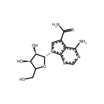 NC(=S)c1cn([C@@H]2OC(CO)[C@@H](O)[C@H]2O)c2ncnc(N)c12